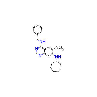 O=[N+]([O-])c1cc2c(NCc3ccccc3)ncnc2cc1NC1CCCCCC1